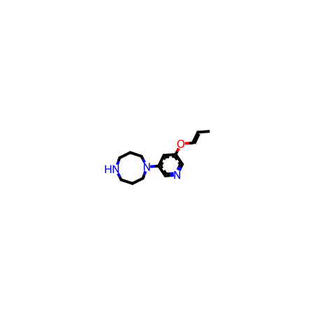 C/C=C/Oc1cncc(N2CCCNCCC2)c1